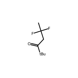 CC(F)(F)CC(=O)C(C)(C)C